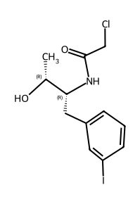 C[C@@H](O)[C@@H](Cc1cccc(I)c1)NC(=O)CCl